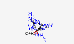 NC=O.Nc1nc2[nH]cnc2c(=O)[nH]1